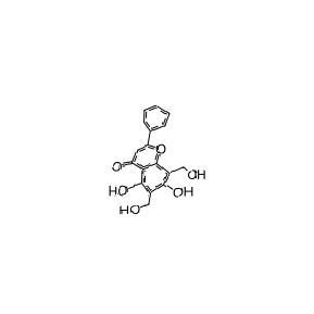 O=c1cc(-c2ccccc2)oc2c(CO)c(O)c(CO)c(O)c12